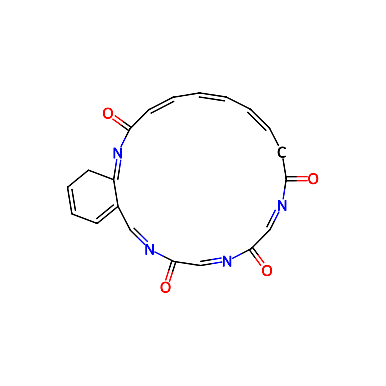 O=C1/C=N\C(=O)/C=N\C(=O)C\C=C/C=C\C=C/C(=O)/N=C2/CC=CC=C2/C=N\1